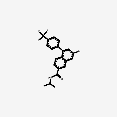 CC(C)NC(=O)c1ccc2c(-c3ccc(C(F)(F)F)cc3)cc(Br)cc2c1